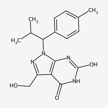 Cc1ccc(C(C(C)C)n2nc(CO)c3c(=O)[nH]c(O)nc32)cc1